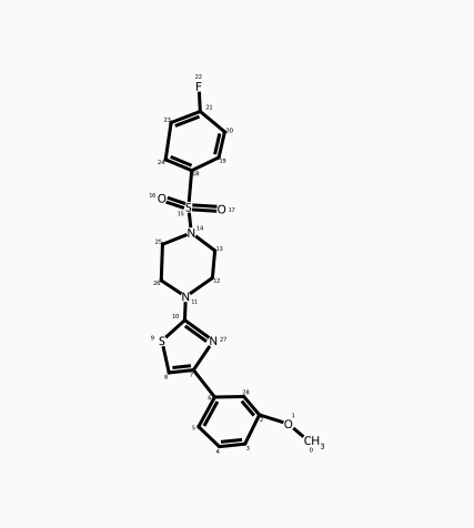 COc1cccc(-c2csc(N3CCN(S(=O)(=O)c4ccc(F)cc4)CC3)n2)c1